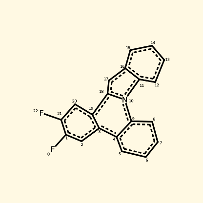 Fc1cc2c3ccccc3n3c4ccccc4cc3c2cc1F